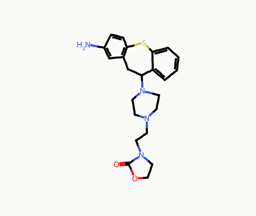 Nc1ccc2c(c1)CC(N1CCN(CCN3CCOC3=O)CC1)c1ccccc1S2